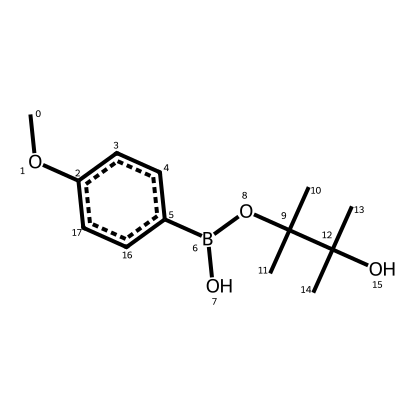 COc1ccc(B(O)OC(C)(C)C(C)(C)O)cc1